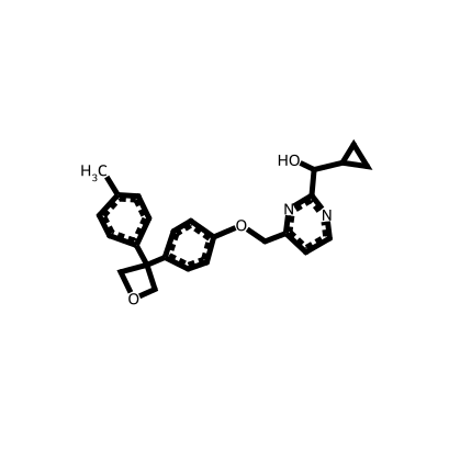 Cc1ccc(C2(c3ccc(OCc4ccnc(C(O)C5CC5)n4)cc3)COC2)cc1